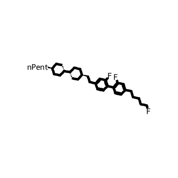 CCCCC[C@H]1CC[C@H]([C@H]2CC[C@H](CCc3ccc(-c4ccc(CCCCCF)cc4F)c(F)c3)CC2)CC1